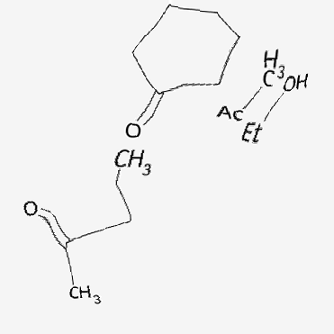 CC(C)=O.CCC(C)=O.CCO.O=C1CCCCC1